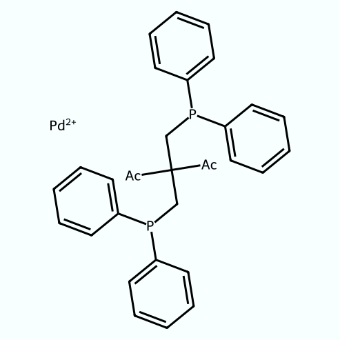 CC(=O)C(CP(c1ccccc1)c1ccccc1)(CP(c1ccccc1)c1ccccc1)C(C)=O.[Pd+2]